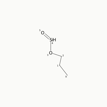 CCCO[SiH]=O